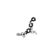 C[C@@H]1CC2(CC[C@H]1OC1=CCN(Cc3ccccc3)CC1)CN(C(=O)OC(C)(C)C)C2